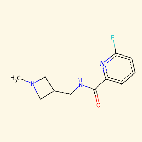 CN1CC(CNC(=O)c2cccc(F)n2)C1